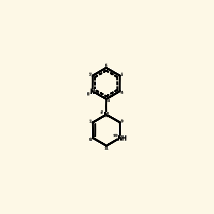 C1=CN(c2ccccn2)CNC1